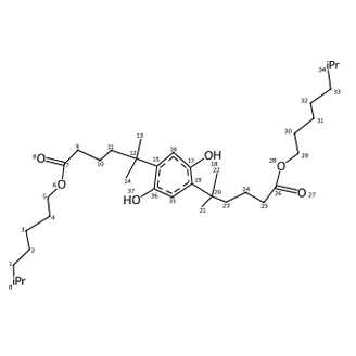 CC(C)CCCCCOC(=O)CCCC(C)(C)c1cc(O)c(C(C)(C)CCCC(=O)OCCCCCC(C)C)cc1O